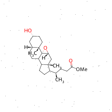 COC(=O)CC[C@@H](C)C1CCC2C3CC[C@@H]4C[C@H](O)CC[C@]4(C)[C@]34O[C@@H]4C[C@@]21C